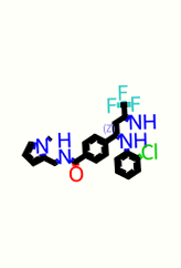 Cn1cccc1CNC(=O)c1ccc(/C(=C/C(=N)C(F)(F)F)Nc2ccccc2Cl)cc1